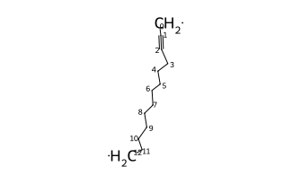 [CH2]C#CCCCCCCCCC[CH2]